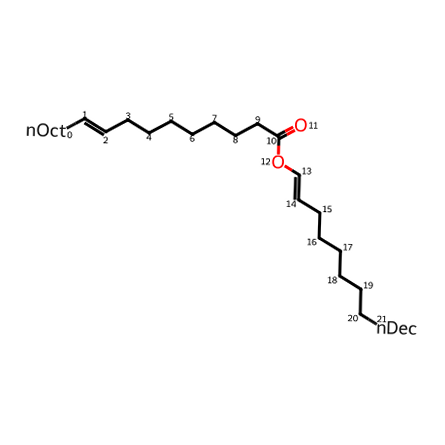 CCCCCCCCC=CCCCCCCCC(=O)OC=CCCCCCCCCCCCCCCCC